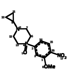 COc1cc(P2(=O)CCN(C3CC3)CC2)ccc1[N+](=O)[O-]